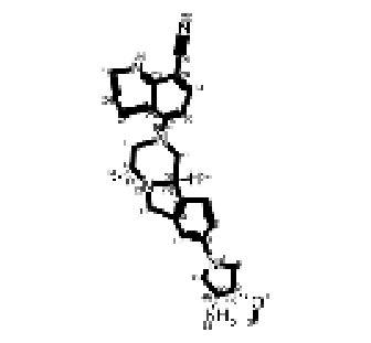 CO[C@H]1CN(c2ccc3c(c2)CN2[C@H](C)CN(c4ccc(C#N)c5ncccc45)C[C@H]32)C[C@H]1N